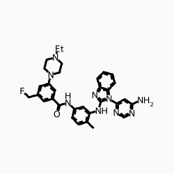 CCN1CCN(c2cc(CF)cc(C(=O)Nc3ccc(C)c(Nc4nc5ccccc5n4-c4cc(N)ncn4)c3)c2)CC1